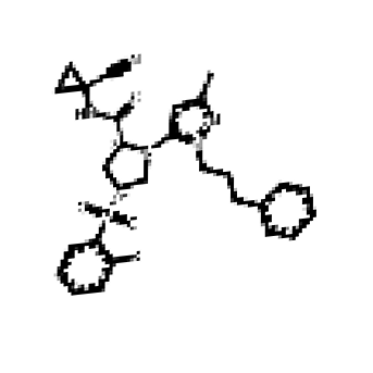 Cc1cc(N2C[C@H](S(=O)(=O)c3ccccc3Cl)C[C@H]2C(=O)NC2(C#N)CC2)n(CCCc2ccccc2)n1